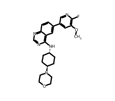 COc1cc(-c2ccc3ncnc(N[C@H]4CC[C@H](N5CCOCC5)CC4)c3c2)cnc1F